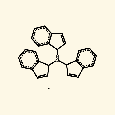 C1=CC([SiH](C2C=Cc3ccccc32)C2C=Cc3ccccc32)c2ccccc21.[Li]